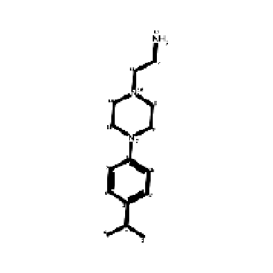 CC(C)c1ccc(N2CCN(CCN)CC2)cc1